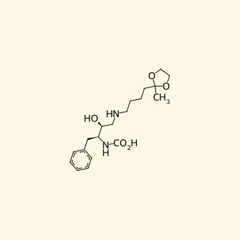 CC1(CCCCNC[C@H](O)[C@H](Cc2ccccc2)NC(=O)O)OCCO1